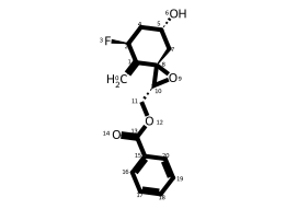 C=C1[C@@H](F)C[C@H](O)C[C@]12O[C@@H]2COC(=O)c1ccccc1